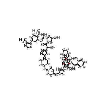 Cc1ncsc1-c1ccc([C@H](C)NC(=O)[C@@H]2C[C@@H](O)CN2C(=O)C(c2cc(N3CCC(CN4CCC(OC5CC(Oc6cnc(N7C8CCC7CC(n7nc(N)c9nnc(-c%10ccccc%10O)cc97)C8)nc6)C5)CC4)CC3)no2)C(C)C)cc1